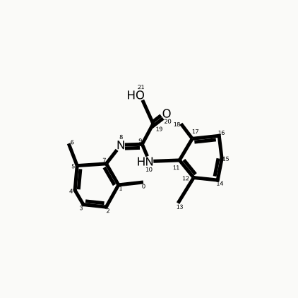 Cc1cccc(C)c1N=C(Nc1c(C)cccc1C)C(=O)O